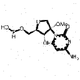 CO[C@@]1(n2ccc(N)nc2=O)CO[C@H](COPO)[C@H]1O